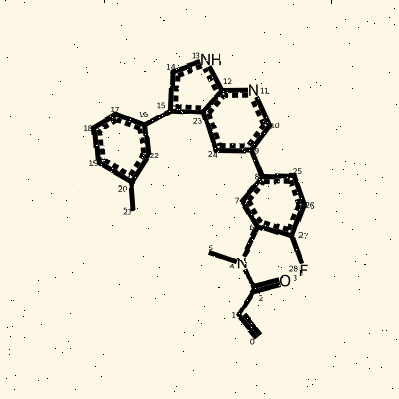 C=CC(=O)N(C)c1cc(-c2cnc3[nH]cc(-c4cccc(C)c4)c3c2)ccc1F